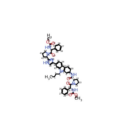 CCCCn1c2cc(NC(=O)[C@@H]3CCCN3C(=O)[C@H](NC(=O)OC)c3ccccc3)ccc2c2ccc(-c3c[nH]c(C4CCCN4C(=O)[C@H](NC(=O)OC)c4ccccc4)n3)cc21